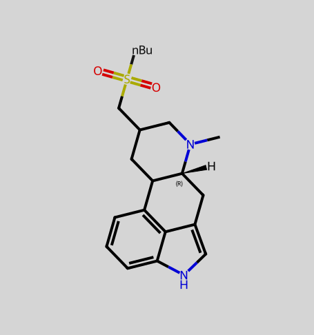 CCCCS(=O)(=O)CC1CC2c3cccc4[nH]cc(c34)C[C@H]2N(C)C1